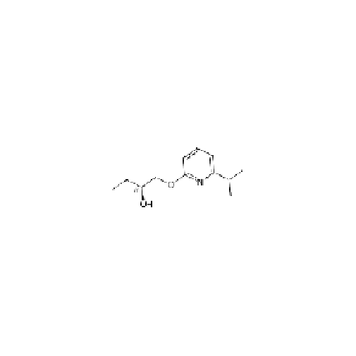 CC[C@H](O)COc1cccc(C(C)C)n1